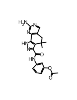 CC(=O)Oc1cccc(NC(=O)c2n[nH]c3c2C(C)(C)Cc2cnc(N)nc2-3)c1